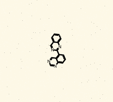 [c]1nc(-c2cccc3ncncc23)nc2ccccc12